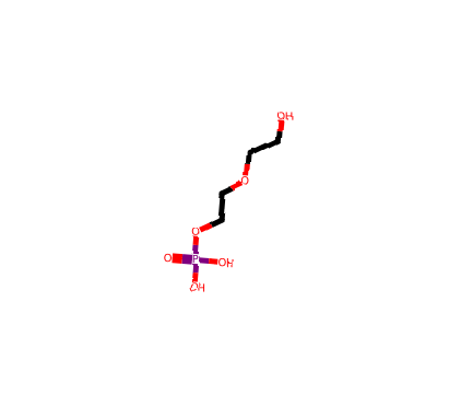 O=P(O)(O)OCCOCCO